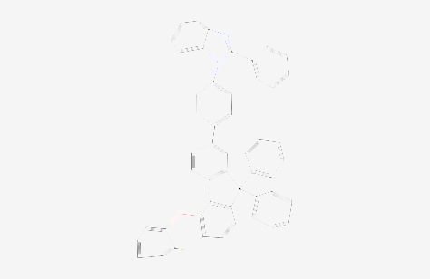 c1ccc(-c2nc3ccccc3n2-c2ccc(-c3ccc4c(c3)C(c3ccccc3)(c3ccccc3)c3ccc5c(c3-4)Oc3ccccc3S5)cc2)cc1